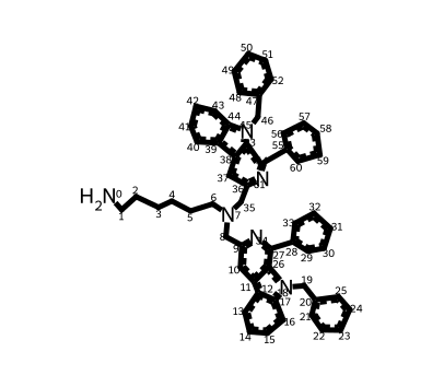 NCCCCCCN(Cc1cc2c3ccccc3n(Cc3ccccc3)c2c(-c2ccccc2)n1)Cc1cc2c3ccccc3n(Cc3ccccc3)c2c(-c2ccccc2)n1